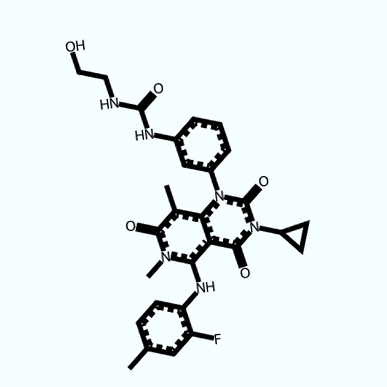 Cc1ccc(Nc2c3c(=O)n(C4CC4)c(=O)n(-c4cccc(NC(=O)NCCO)c4)c3c(C)c(=O)n2C)c(F)c1